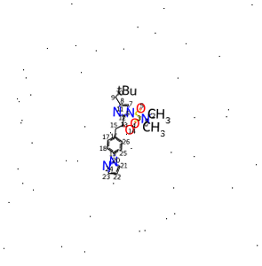 CN(C)S(=O)(=O)n1cc(CC(C)(C)C)nc1C(=O)Cc1ccc(-n2cccn2)cc1